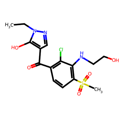 CCn1ncc(C(=O)c2ccc(S(C)(=O)=O)c(NCCO)c2Cl)c1O